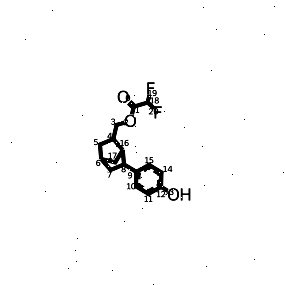 O=C(OCC1CC2CC(c3ccc(O)cc3)C1C2)C(F)F